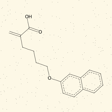 C=C(CCCCOc1ccc2ccccc2c1)C(=O)O